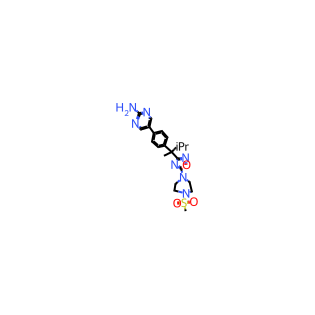 CC(C)C(C)(c1ccc(-c2cnc(N)nc2)cc1)c1noc(N2CCN(S(C)(=O)=O)CC2)n1